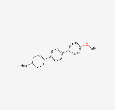 CCCCCCC1CC=C(c2ccc(-c3ccc(OCCC)cc3)cc2)CC1